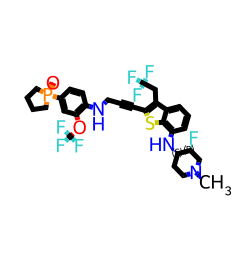 CN1CC[C@H](Nc2cccc3c(CC(F)(F)F)c(C#CCNc4ccc(P5(=O)CCCC5)cc4OC(F)(F)F)sc23)[C@H](F)C1